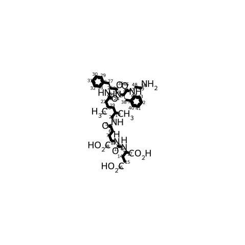 CC(CNC(=O)CCC(NC(=O)NC(CCC(=O)O)C(=O)O)C(=O)O)CC(C)CC(=O)N[C@@H](Cc1ccccc1)C(=O)N[C@@H](Cc1ccccc1)C(=O)NCCN